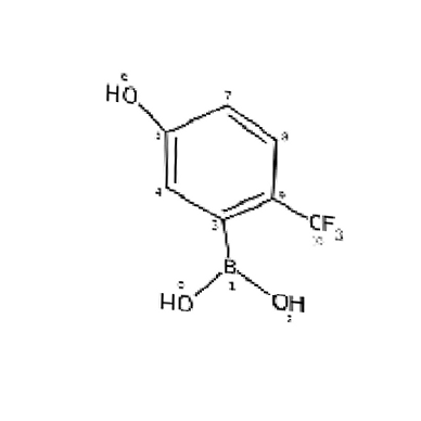 OB(O)c1cc(O)ccc1C(F)(F)F